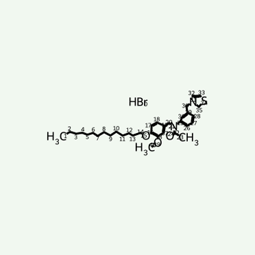 Br.CCCCCCCCCCCCCCOc1ccc(CN(C(C)=O)c2cccc(CN3C=CSC3)c2)cc1OC